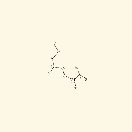 CCCC(C)CCN(C)C(C)C